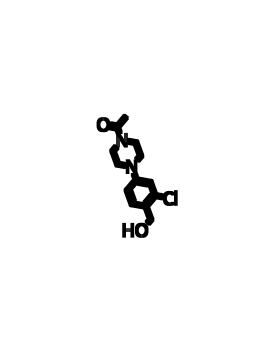 CC(=O)N1CCN(c2ccc(CO)c(Cl)c2)CC1